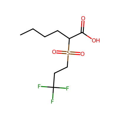 CCCCC(C(=O)O)S(=O)(=O)CCC(F)(F)F